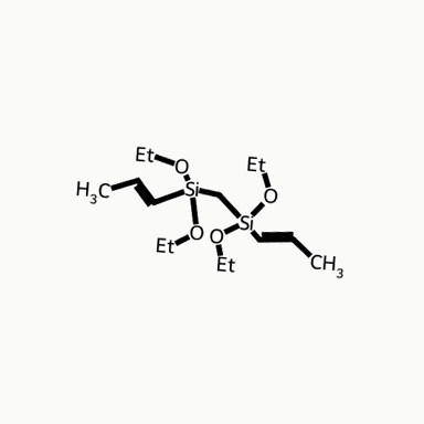 CC=C[Si](C[Si](C=CC)(OCC)OCC)(OCC)OCC